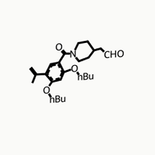 C=C(C)c1cc(C(=O)N2CCC(CC=O)CC2)c(OCCCC)cc1OCCCC